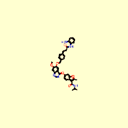 COc1cc2ncnc(Oc3ccc4c(C(=O)NC(C)C)c(C)oc4c3)c2cc1OCc1ccc(C=CC(=O)Nc2ccccc2N)cc1